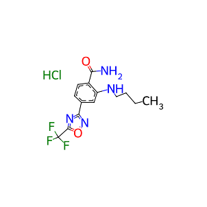 CCCCNc1cc(-c2noc(C(F)(F)F)n2)ccc1C(N)=O.Cl